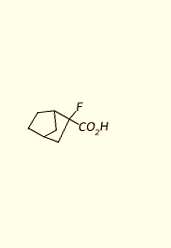 O=C(O)C1(F)CC2CCC1C2